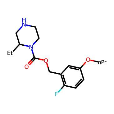 CCCOc1ccc(F)c(COC(=O)N2CCNCC2CC)c1